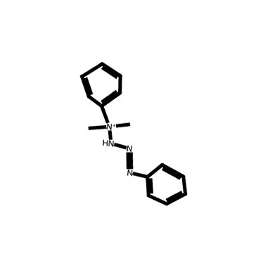 C[N+](C)(NN=Nc1ccccc1)c1ccccc1